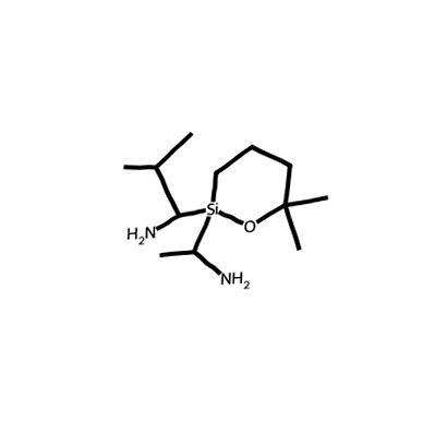 CC(C)C(N)[Si]1(C(C)N)CCCC(C)(C)O1